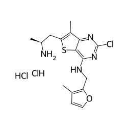 Cc1ccoc1CNc1nc(Cl)nc2c(C)c(C[C@H](C)N)sc12.Cl.Cl